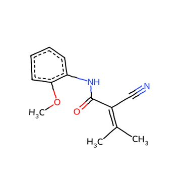 COc1ccccc1NC(=O)C(C#N)=C(C)C